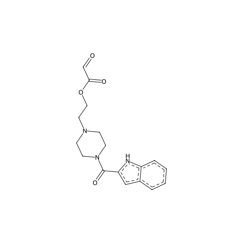 O=CC(=O)OCCN1CCN(C(=O)c2cc3ccccc3[nH]2)CC1